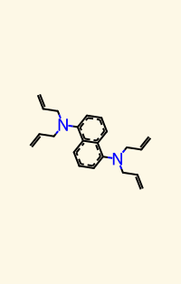 C=CCN(CC=C)c1cccc2c(N(CC=C)CC=C)cccc12